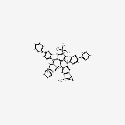 CC1=C2CC2c2cc3c(cc21)B1c2cc4c(cc2N(c2ccc(-c5ccccc5)cc2)c2cc(C(C)(C)C)cc(c21)N3c1ccc(-c2ccccc2)cc1)C1CCC4CC1